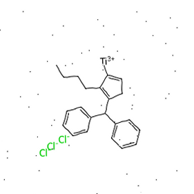 CCCCC1=C(C(c2ccccc2)c2ccccc2)CC=[C]1[Ti+3].[Cl-].[Cl-].[Cl-]